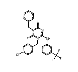 O=c1nc(Nc2cccc(C(F)(F)F)c2)n(Cc2ccc(Cl)cc2)c(=O)n1Cc1ccccc1